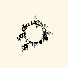 CC[C@H](C)[C@@H]1NC(=O)[C@H](CC)N(C)C(=O)C[C@@H](C(=O)N(C)C)N(C)C(=O)[C@H](C2CCCC2)N(C)C(=O)C2(CCC2)NC(=O)[C@H](C)NC(=O)[C@H](CCc2cc(F)c(C(F)(F)F)c(F)c2)NC(=O)CN(C)C(=O)[C@H](Cc2ccc(C(F)(F)F)cc2)N2CC/C=C\C[C@@H](C2=O)N(C)C(=O)CN(C)C1=O